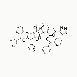 CO[C@@]1(NC(=O)C(C(=O)OC(c2ccccc2)c2ccccc2)c2ccsc2)C(=O)N2C(C(=O)OC(c3ccccc3)c3ccccc3)=C(CSc3nnnn3C)CS[C@@H]21